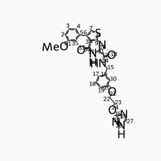 COc1cccc(-c2csc3nc(C(=O)NCc4cccc(OCCOc5nc[nH]n5)c4)[nH]c(=O)c23)c1